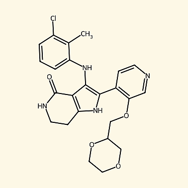 Cc1c(Cl)cccc1Nc1c(-c2ccncc2OCC2COCCO2)[nH]c2c1C(=O)NCC2